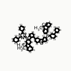 CC1(C)c2ccccc2-c2cc(N(c3cccc(-c4ccccc4)c3)c3ccc4oc5ccc(-c6cccc7c6c6cc8c(cc6n7-c6nc(-c7ccccc7)nc(-c7ccccc7)n6)C(C)(C)c6ccccc6-8)cc5c4c3)ccc21